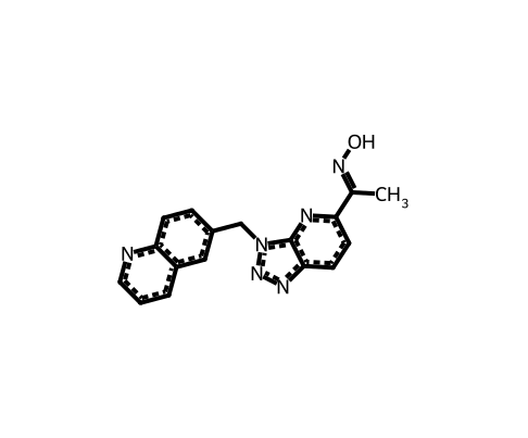 CC(=NO)c1ccc2nnn(Cc3ccc4ncccc4c3)c2n1